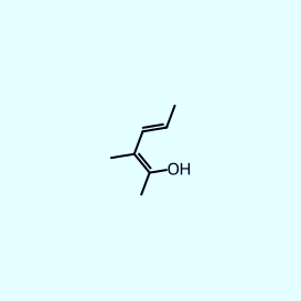 CC=CC(C)=C(C)O